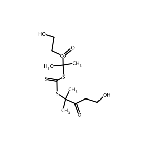 CC(C)(SC(=S)S[C](C)(C)[Co](=[O])[CH2]CO)C(=O)CCO